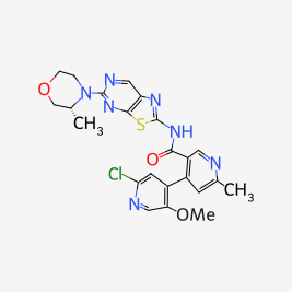 COc1cnc(Cl)cc1-c1cc(C)ncc1C(=O)Nc1nc2cnc(N3CCOC[C@H]3C)nc2s1